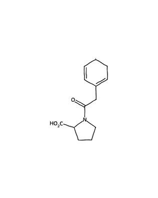 O=C(O)C1CCCN1C(=O)CC1=CC[CH]C=C1